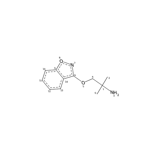 CC(C)(N)COc1noc2ccccc12